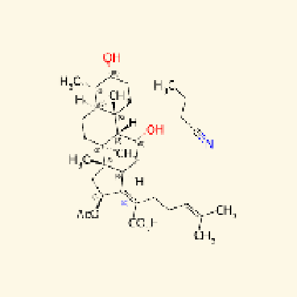 CC(=O)O[C@H]1C[C@@]2(C)[C@@H](C[C@@H](O)[C@H]3[C@@]4(C)CC[C@@H](O)[C@@H](C)[C@@H]4CC[C@@]32C)/C1=C(\CCC=C(C)C)C(=O)O.CCCC#N